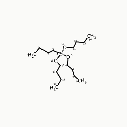 [CH2]CCC[Si](OCCCC)(OCCCC)OCCCC